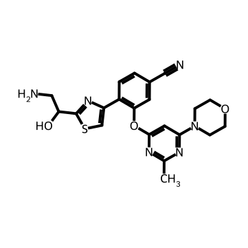 Cc1nc(Oc2cc(C#N)ccc2-c2csc(C(O)CN)n2)cc(N2CCOCC2)n1